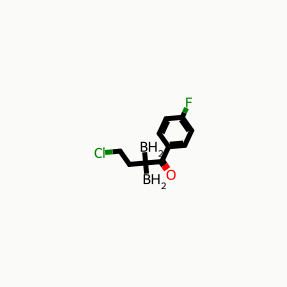 BC(B)(CCCl)C(=O)c1ccc(F)cc1